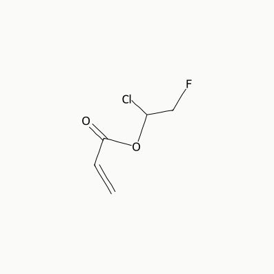 C=CC(=O)OC(Cl)CF